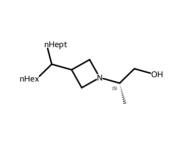 CCCCCCCC(CCCCCC)C1CN([C@@H](C)CO)C1